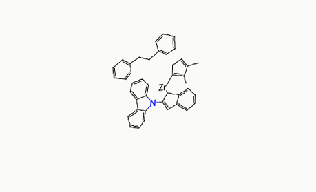 CC1=CC[C]([Zr][CH]2C(n3c4ccccc4c4ccccc43)=Cc3ccccc32)=C1C.c1ccc(CCc2ccccc2)cc1